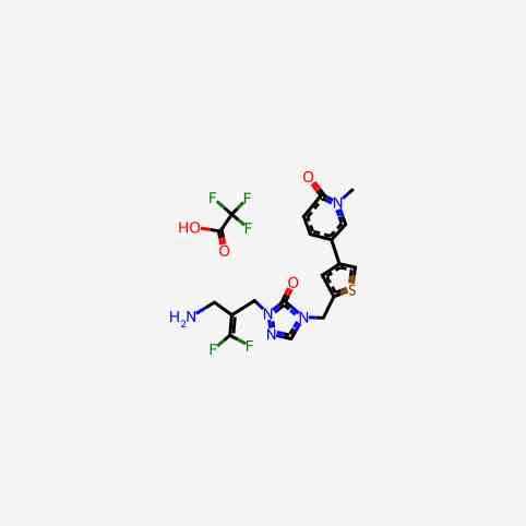 Cn1cc(-c2csc(Cn3cnn(CC(CN)=C(F)F)c3=O)c2)ccc1=O.O=C(O)C(F)(F)F